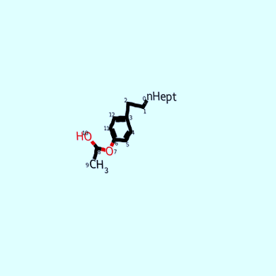 CCCCCCCCCc1ccc(OC(C)O)cc1